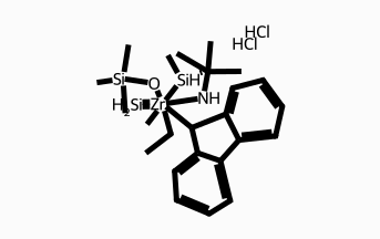 C[CH2][Zr]([CH3])(=[SiH2])([NH]C(C)(C)C)([O][Si](C)(C)C)([CH]1c2ccccc2-c2ccccc21)[SiH](C)C.Cl.Cl